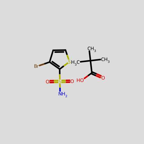 CC(C)(C)C(=O)O.NS(=O)(=O)c1sccc1Br